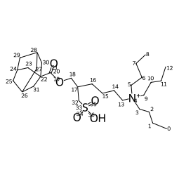 CCCC[N+](CCCC)(CCCC)CCCCC(COC(=O)C12CC3CC(CC(C3)C1)C2)CS(=O)(=O)O